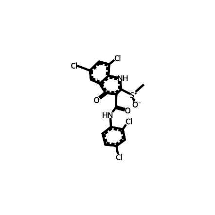 C[S+]([O-])c1[nH]c2c(Cl)cc(Cl)cc2c(=O)c1C(=O)Nc1ccc(Cl)cc1Cl